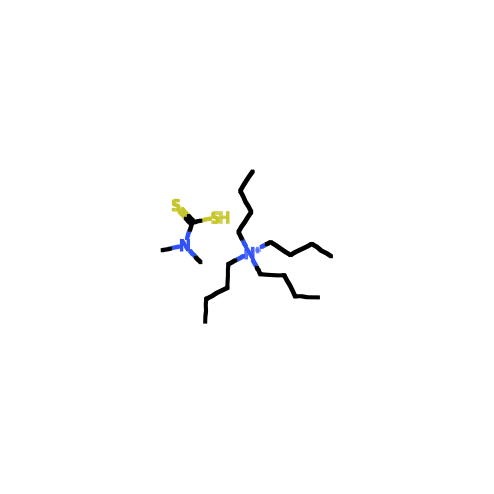 CCCC[N+](CCCC)(CCCC)CCCC.CN(C)C(=S)S